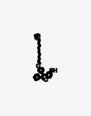 Oc1ccc2c(c1)C(c1ccc(OCCCCCCCCCCCN3CCCC3)cc1)C(c1ccccc1)CO2